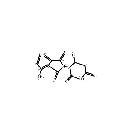 [2H]C1CC(=O)NC(=O)C1N1C(=O)c2cccc(N)c2C1=O